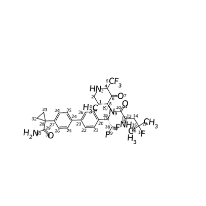 CC1CNC(C(F)(F)F)C(=O)[C@H]1N(C(=O)[C@@H](N)CC(C)(C)F)[C@@H](c1ccc(-c2ccc(C3(C(N)=O)CC3)cc2)cc1)C(F)F